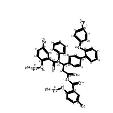 CCCCCCCOc1ccc(Br)cc1C(=O)OC(=O)CC(c1ccc(-c2ccccc2Oc2ccc(C(F)(F)F)cc2)cc1)N(C(=O)c1cc(Br)ccc1OCCCCCCC)c1ccccc1